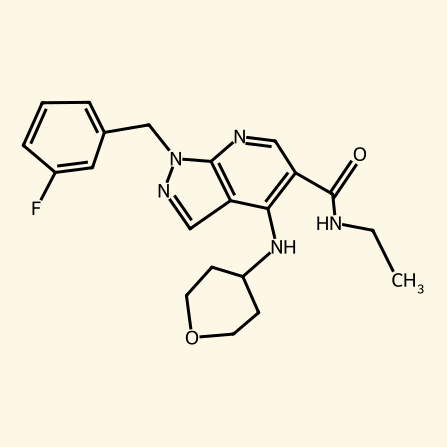 CCNC(=O)c1cnc2c(cnn2Cc2cccc(F)c2)c1NC1CCOCC1